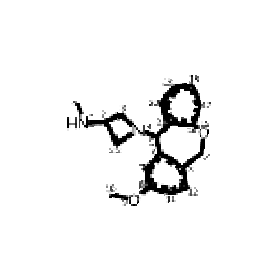 CNC1CN(C2c3cc(OC)ccc3COc3ccccc32)C1